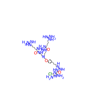 N=C(N)NCCCC[C@@H](N)C(=O)NCCCN(CCCNC(=O)[C@@H](N)CCCCNC(=N)N)CCOc1ccc(CCCCNC(=N)NC(=O)c2nc(Cl)c(N)nc2N)cc1